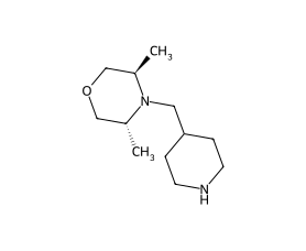 C[C@@H]1COC[C@@H](C)N1CC1CCNCC1